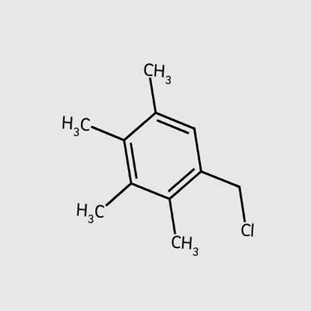 Cc1cc(CCl)c(C)c(C)c1C